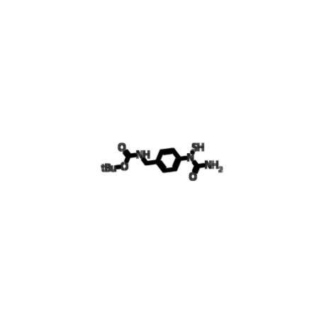 CC(C)(C)OC(=O)NCc1ccc(N(S)C(N)=O)cc1